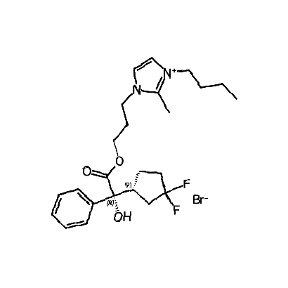 CCCC[n+]1ccn(CCCOC(=O)[C@](O)(c2ccccc2)[C@@H]2CCC(F)(F)C2)c1C.[Br-]